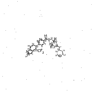 Cn1cc2c(C(F)(F)F)c(-c3ccc(NC4C[C@@H]5CN(CC6CCOCC6)C[C@@H]5C4)nn3)ccc2n1